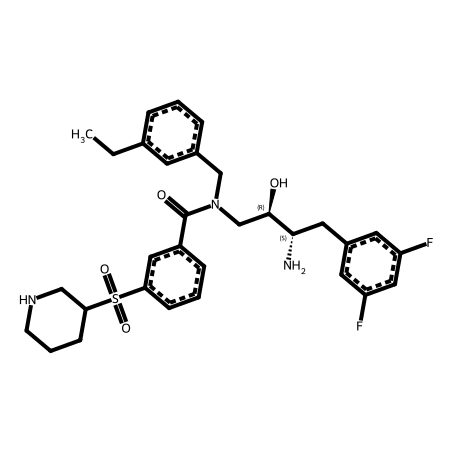 CCc1cccc(CN(C[C@@H](O)[C@@H](N)Cc2cc(F)cc(F)c2)C(=O)c2cccc(S(=O)(=O)C3CCCNC3)c2)c1